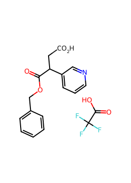 O=C(O)C(F)(F)F.O=C(O)CC(C(=O)OCc1ccccc1)c1cccnc1